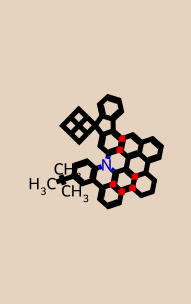 CC(C)(C)c1ccc(N(c2ccc3c(c2)C2(c4ccccc4-3)C3CC4CC5CC2C453)c2ccccc2-c2cccc3cccc(C4CCCCC4)c23)c(-c2ccccc2)c1